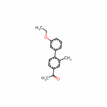 CCOc1cccc(-c2ccc(C(C)=O)cc2C)c1